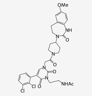 COc1ccc2c(c1)CCN(C1CCN(C(=O)Cn3cc(-c4cccc(Cl)c4Cl)c(=O)n(CCNC(C)=O)c3=O)CC1)C(=O)N2